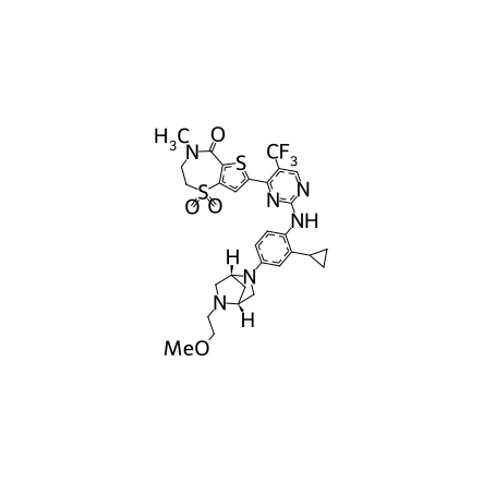 COCCN1C[C@H]2C[C@@H]1CN2c1ccc(Nc2ncc(C(F)(F)F)c(-c3cc4c(s3)C(=O)N(C)CCS4(=O)=O)n2)c(C2CC2)c1